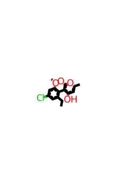 CCc1cc(Cl)cc(OC)c1-c1c(O)cc(C)oc1=O